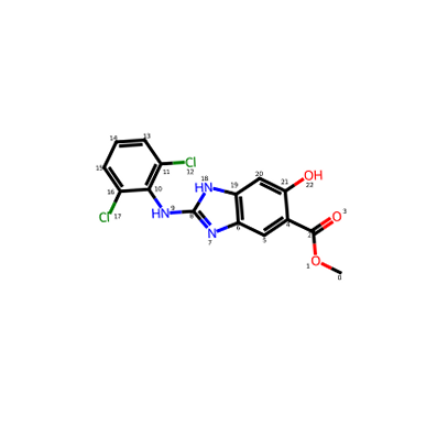 COC(=O)c1cc2nc(Nc3c(Cl)cccc3Cl)[nH]c2cc1O